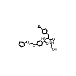 O=C(NCCO)C(=Cc1ccc(C2CC2)cc1)NC(=O)c1ccc(OCCOc2ccccc2)cc1